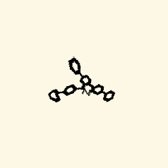 c1ccc(-c2ccc(-c3nc4cc(-c5ccccc5)ccc4c4ccc(-c5ccccc5)cc34)cc2)cc1